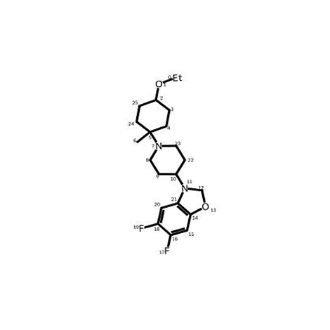 CCOC1CCC(C)(N2CCC(N3COc4cc(F)c(F)cc43)CC2)CC1